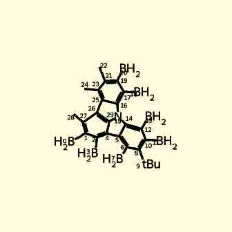 Bc1c(B)c2c3c(B)c(C(C)(C)C)c(B)c(B)c3n3c4c(B)c(B)c(C)c(C)c4c(c1C)c23